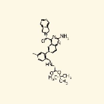 CC(C)(C)OC(=O)CNCc1ccc(F)cc1-c1ccc2nc(N)nc(C(=O)N3Cc4ccccc4C3)c2c1